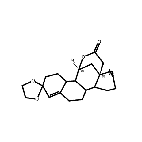 O=C1C[C@]23C[C@H](O1)C1C4CCC5(C=C4CCC1C2CCC31OCCO1)OCCO5